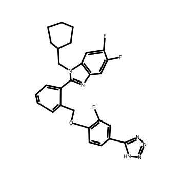 Fc1cc2nc(-c3ccccc3COc3ccc(-c4nnn[nH]4)cc3F)n(CC3CCCCC3)c2cc1F